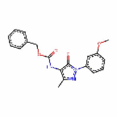 COc1cccc(-n2[nH]c(C)c(NC(=O)OCc3ccccc3)c2=O)c1